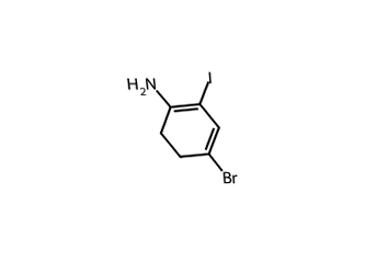 NC1=C(I)C=C(Br)CC1